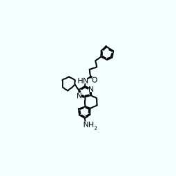 Nc1ccc2c(c1)CCc1nc(NC(=O)CCCc3ccccc3)c(C3CCCCC3)nc1-2